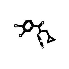 O=C(c1ccc(Cl)c(Cl)c1)C(CC1CC1)N=C=S